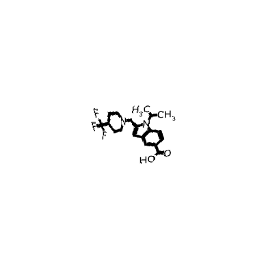 CC(C)n1c(CN2CCC(C(F)(F)F)CC2)cc2cc(C(=O)O)ccc21